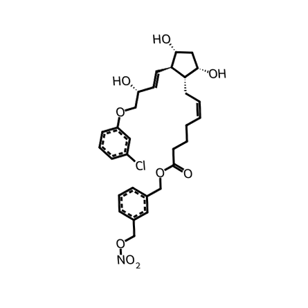 O=C(CCC/C=C\C[C@@H]1[C@@H](/C=C/[C@@H](O)COc2cccc(Cl)c2)[C@H](O)C[C@@H]1O)OCc1cccc(CO[N+](=O)[O-])c1